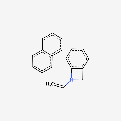 C=CN1Cc2ccccc21.c1ccc2ccccc2c1